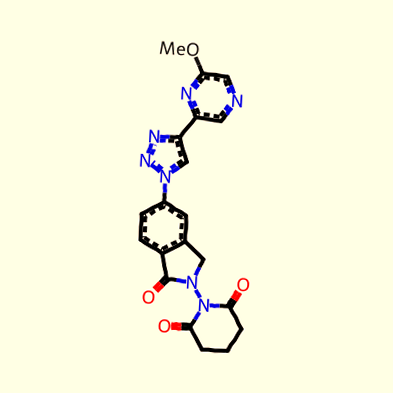 COc1cncc(-c2cn(-c3ccc4c(c3)CN(N3C(=O)CCCC3=O)C4=O)nn2)n1